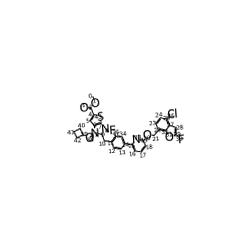 COC(=O)c1cc2c(nc(Cc3ccc(-c4cccc(OCc5ccc(Cl)c6cc(F)oc56)n4)cc3F)n2OC2CCC2)s1